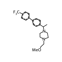 COCCN1CCN(C(C)c2ccc(-c3ccc(C(F)(F)F)cc3)cc2)CC1